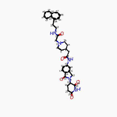 O=C(CN1CCC(CC(=O)Nc2ccc3c(c2)CN(C2CCC(=O)NC2=O)C3=O)CC1)NCCc1cccc2ccccc12